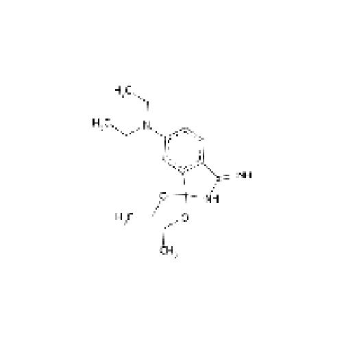 CCOC1(OCC)NC(=N)c2ccc(N(CC)CC)cc21